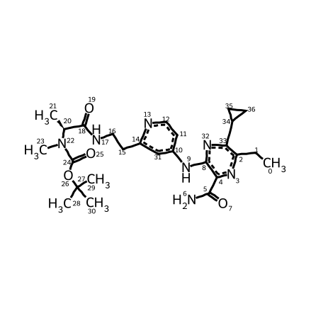 CCc1nc(C(N)=O)c(Nc2ccnc(CCNC(=O)[C@H](C)N(C)C(=O)OC(C)(C)C)c2)nc1C1CC1